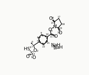 C[C@H](OS(=O)(=O)S)c1ccc(C(=O)ON2C(=O)CCC2=O)cc1.[NaH].[NaH]